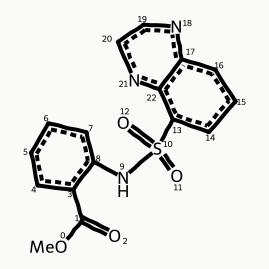 COC(=O)c1ccccc1NS(=O)(=O)c1cccc2nccnc12